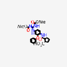 COC(=O)N=C(NC(=O)OC)Nc1ccc(NC(=O)C2CCCC2C(=O)O)c(Oc2ccccc2)c1